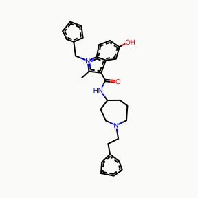 Cc1c(C(=O)NC2CCCN(CCc3ccccc3)CC2)c2cc(O)ccc2n1Cc1ccccc1